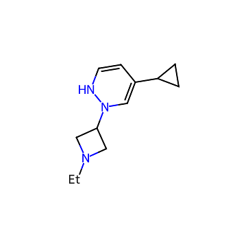 CCN1CC(N2C=C(C3CC3)C=CN2)C1